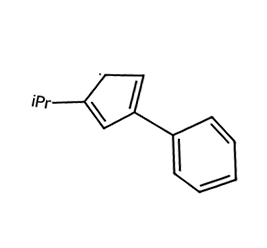 CC(C)C1=CC(c2ccccc2)=C[CH]1